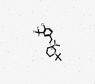 CN(C)[C@]1(CCc2ccc(Cl)c(C(F)(F)F)c2)CCCN(C(C)(C)C)C1